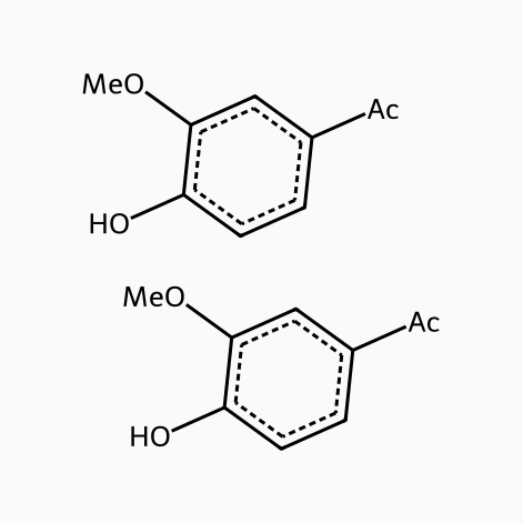 COc1cc(C(C)=O)ccc1O.COc1cc(C(C)=O)ccc1O